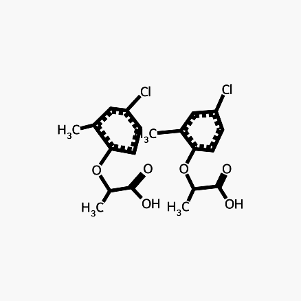 Cc1cc(Cl)ccc1OC(C)C(=O)O.Cc1cc(Cl)ccc1OC(C)C(=O)O